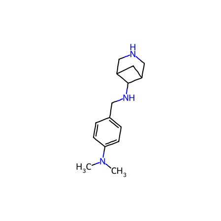 CN(C)c1ccc(CNC2C3CNCC2C3)cc1